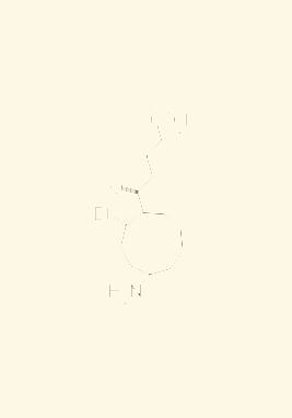 CCC1CC[C@](C)(N)CCCCC1C(=O)CCCC(=O)O